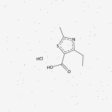 CCc1nc(C)sc1C(=O)O.Cl